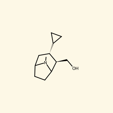 CN1C2CCC1[C@H](CO)[C@@H](C1CC1)C2